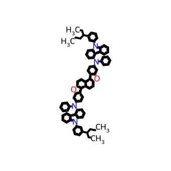 CCCC(CC)c1cccc(-n2c3ccccc3c3c(N(c4ccccc4)c4ccc5c(c4)oc4ccc6c(ccc7oc8cc(N(c9ccccc9)c9cccc%10c9c9ccccc9n%10-c9cccc(C(CC)CCC)c9)ccc8c76)c45)cccc32)c1